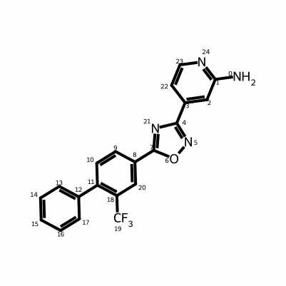 Nc1cc(-c2noc(-c3ccc(-c4ccccc4)c(C(F)(F)F)c3)n2)ccn1